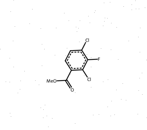 COC(=O)c1ccc(Cl)c(F)c1Cl